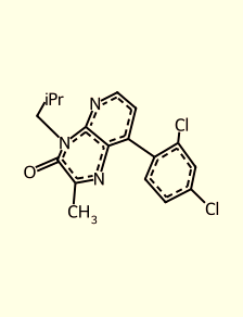 Cc1nc2c(-c3ccc(Cl)cc3Cl)ccnc2n(CC(C)C)c1=O